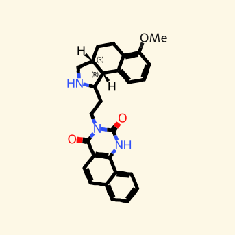 COc1cccc2c1CC[C@H]1CNC(CCn3c(=O)[nH]c4c(ccc5ccccc54)c3=O)[C@@H]21